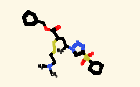 CC(CC(SSCCN(C)C)C(=O)OCc1ccccc1)n1cc(S(=O)(=O)c2ccccc2)nn1